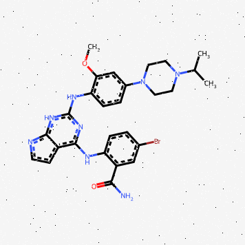 COc1cc(N2CCN(C(C)C)CC2)ccc1Nc1nc(Nc2ccc(Br)cc2C(N)=O)c2ccnc-2[nH]1